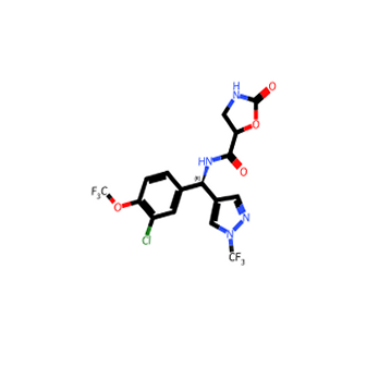 O=C1NCC(C(=O)N[C@H](c2ccc(OC(F)(F)F)c(Cl)c2)c2cnn(C(F)(F)F)c2)O1